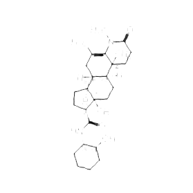 CC1=C2N(C)C(=O)CC[C@]2(C)[C@H]2CC[C@]3(C)[C@@H](C(=O)N[C@H]4CCCC[C@@H]4O)CC[C@H]3[C@@H]2C1